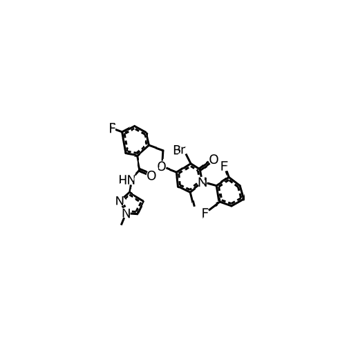 Cc1cc(OCc2ccc(F)cc2C(=O)Nc2ccn(C)n2)c(Br)c(=O)n1-c1c(F)cccc1F